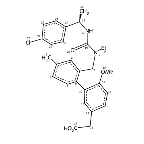 CCN(Cc1cc(C)ccc1-c1cc(CC(=O)O)ccc1OC)C(=O)N[C@H](C)c1ccc(Cl)cc1